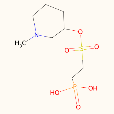 CN1CCCC(OS(=O)(=O)CCP(=O)(O)O)C1